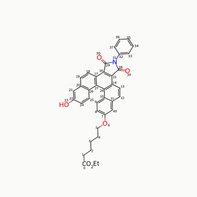 CCOC(=O)CCCCCOc1ccc2c(ccc3c4c(c5ccc6cc(O)ccc6c5c32)C(=O)N(c2ccccc2)C4=O)c1